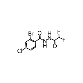 O=C(NNC(=O)C(F)F)c1ccc(Cl)cc1Br